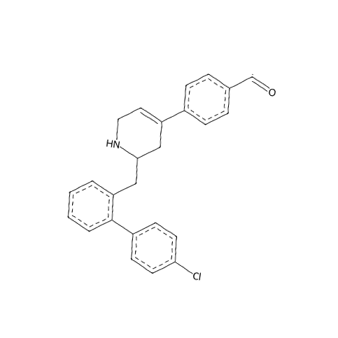 O=[C]c1ccc(C2=CCNC(Cc3ccccc3-c3ccc(Cl)cc3)C2)cc1